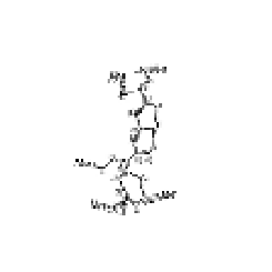 CN/C=C(\C=N)c1cnc2ccc(N(CCOC)c3cc(OC)cc(OC)c3)nc2c1